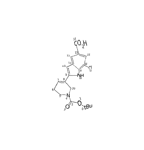 CC(C)(C)OC(=O)N1CCC=C(c2cc3cc(C(=O)O)cc(Cl)c3[nH]2)C1